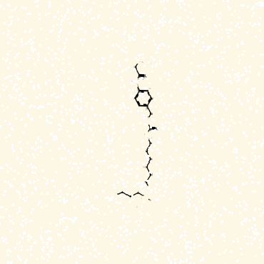 CCCCP(O)(=S)OCCCCCCNC(=O)OCc1ccc(NC(=O)CC)cc1